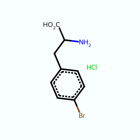 Cl.NC(Cc1ccc(Br)cc1)C(=O)O